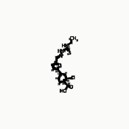 CCNC(=S)NN=Cc1ccc(-c2ccc(C(=O)O)c(Cl)c2)o1